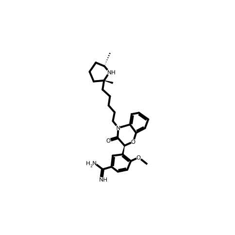 COc1ccc(C(=N)N)cc1[C@@H]1Oc2ccccc2N(CCCCC[C@]2(C)CCC[C@H](C)N2)C1=O